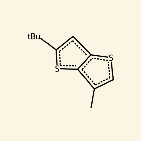 Cc1csc2cc(C(C)(C)C)sc12